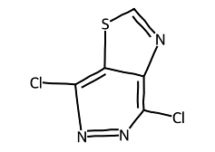 Clc1nnc(Cl)c2scnc12